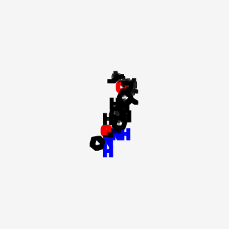 CC[C@@H](C)C[C@H]1O[C@]2(CC[C@@H]3C(=C(C)C2)C[C@H]2[C@H]3CC[C@@H]3C[C@@H](NC(=O)Nc4ccccc4)CC[C@@]32C)[C@H](C)[C@@H]1C